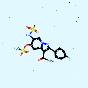 CNC(=O)c1c(-c2ccc(F)cc2)nn2cc(NS(C)(=O)=O)c(OS(=O)(=O)C(F)(F)F)cc12